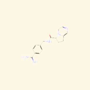 N=C(N)c1ccc(CNC(=O)C2CCC3=CN=CCN32)cc1